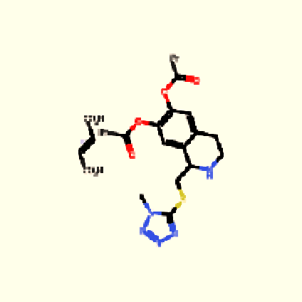 CC(C)C(=O)Oc1cc2c(cc1OC(=O)C(C)C)C(CSc1nnnn1C)NCC2.O=C(O)/C=C/C(=O)O